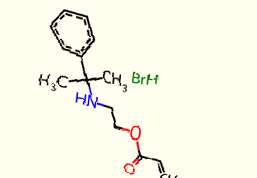 Br.C=CC(=O)OCCNC(C)(C)c1ccccc1